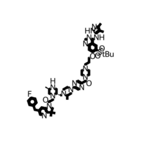 Cc1n[nH]c(Nc2ncnc3cc(OCCCN4CCN(C(=O)c5cnc(N6CCN(C[C@H]7CN[C@H](C)CN7CC(=O)N7CC(C)(C)c8ncc(Cc9ccc(F)cc9)cc87)C(C)C6)cn5)CC4)c(S(=O)(=O)C(C)(C)C)cc23)c1C